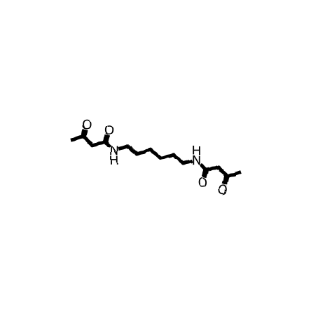 CC(=O)CC(=O)NCCCCCCNC(=O)CC(C)=O